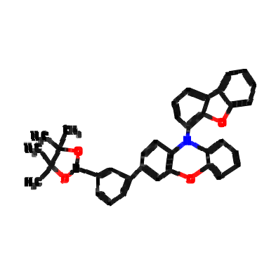 CC1(C)OB(c2cccc(-c3ccc4c(c3)Oc3ccccc3N4c3cccc4c3oc3ccccc34)c2)OC1(C)C